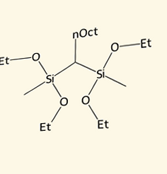 CCCCCCCCC([Si](C)(OCC)OCC)[Si](C)(OCC)OCC